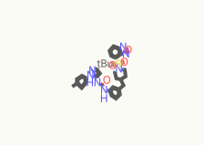 Cc1ccc(-n2nc(C(C)(C)C)cc2NC(=O)Nc2cccc(CC3CCN(S(=O)(=O)c4cccc5nonc45)CC3)c2)cc1